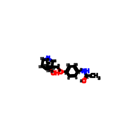 CC(=O)Nc1ccc(OCC2(O)CN3CCC2CC3)cc1